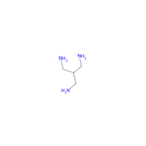 NC[C](CN)CN